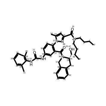 CCCCN(CCCC)C(=O)c1cc(C)n(-c2ccc(NC(=O)Nc3c(C)cccc3C)cc2C(=O)N2Cc3ccccc3C[C@H]2CO)n1